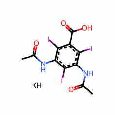 CC(=O)Nc1c(I)c(NC(C)=O)c(I)c(C(=O)O)c1I.[KH]